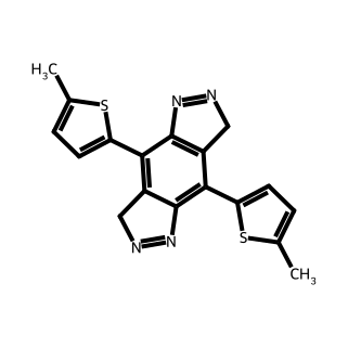 Cc1ccc(-c2c3c(c(-c4ccc(C)s4)c4c2N=NC4)N=NC3)s1